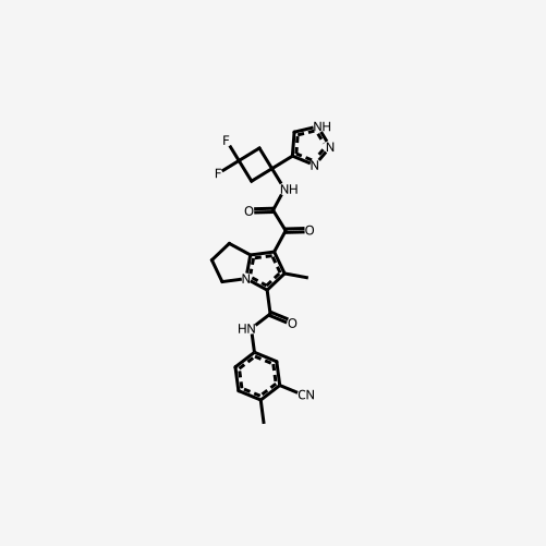 Cc1ccc(NC(=O)c2c(C)c(C(=O)C(=O)NC3(c4c[nH]nn4)CC(F)(F)C3)c3n2CCC3)cc1C#N